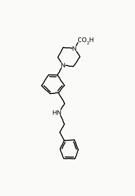 O=C(O)N1CCN(c2cccc(CNCCc3ccccc3)c2)CC1